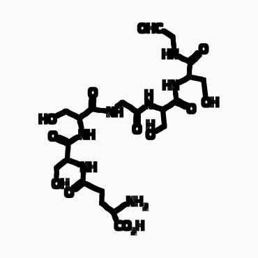 NC(CCC(=O)NC(CO)C(=O)NC(CO)C(=O)NCC(=O)NC(CO)C(=O)NC(CO)C(=O)NCC=O)C(=O)O